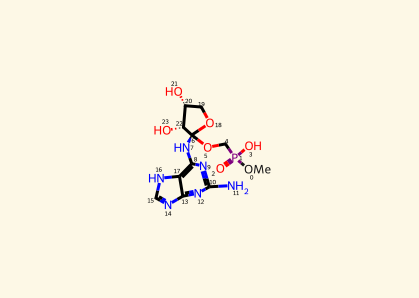 COP(=O)(O)CO[C@@]1(Nc2nc(N)nc3nc[nH]c23)OC[C@@H](O)[C@H]1O